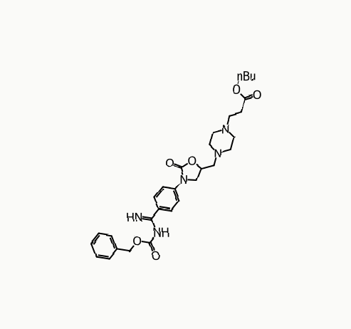 CCCCOC(=O)CCN1CCN(CC2CN(c3ccc(C(=N)NC(=O)OCc4ccccc4)cc3)C(=O)O2)CC1